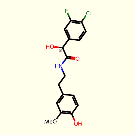 COc1cc(CCNC(=O)[C@@H](O)c2ccc(Cl)c(F)c2)ccc1O